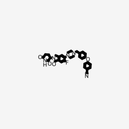 N#Cc1ccc(Oc2ccc(CN3CCN(c4cc5c(cc4F)C(=O)N(C4CCC(=O)NC4=O)C5)CC3)cc2)cc1